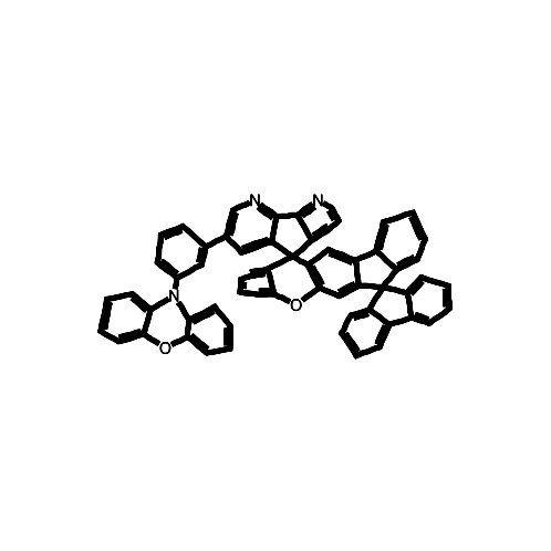 c1cc(-c2cnc3c(c2)C2(c4ccccc4Oc4cc5c(cc42)-c2ccccc2C52c4ccccc4-c4ccccc42)c2cccnc2-3)cc(N2c3ccccc3Oc3ccccc32)c1